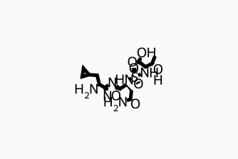 CC(O)[C@H](NS(=O)(=O)N[C@@H](CC(N)=O)c1nc([C@H](N)CC2CC2)no1)C(=O)O